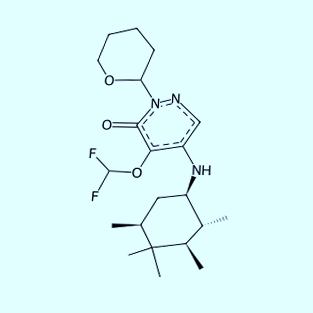 C[C@@H]1[C@@H](C)C(C)(C)[C@@H](C)C[C@H]1Nc1cnn(C2CCCCO2)c(=O)c1OC(F)F